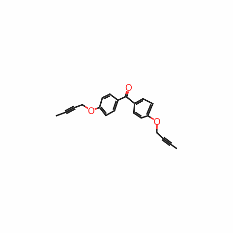 CC#CCOc1ccc(C(=O)c2ccc(OCC#CC)cc2)cc1